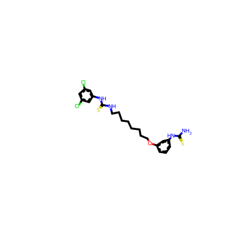 NC(=S)Nc1cccc(OCCCCCCCCNC(=S)Nc2cc(Cl)cc(Cl)c2)c1